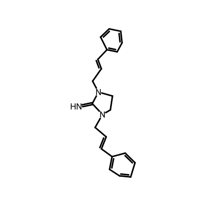 N=C1N(C/C=C/c2ccccc2)CCN1C/C=C/c1ccccc1